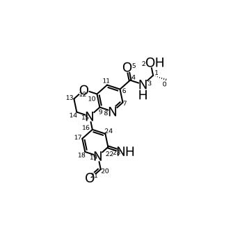 C[C@@H](O)NC(=O)c1cnc2c(c1)OCCN2c1ccn(C=O)c(=N)c1